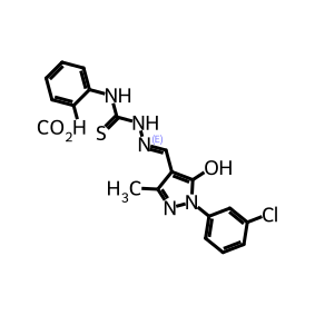 Cc1nn(-c2cccc(Cl)c2)c(O)c1/C=N/NC(=S)Nc1ccccc1C(=O)O